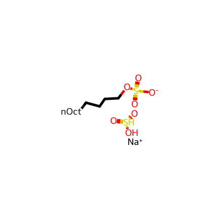 CCCCCCCCCCCCOS(=O)(=O)[O-].O=[SH](=O)O.[Na+]